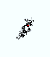 CO[C@H]1[C@H]2O[P@](=O)(S)OCC34C[C@@H]3[C@@H](n3cnc5c(N)ncnc53)[C@H](O)[C@@H]4O[PH](=O)OC[C@H]1O[C@H]2n1cnc2c(=O)[nH]c(N)nc21